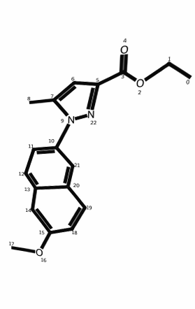 CCOC(=O)c1cc(C)n(-c2ccc3cc(OC)ccc3c2)n1